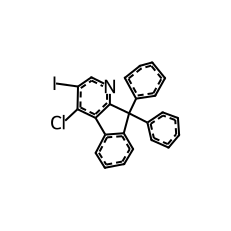 Clc1c(I)cnc2c1-c1ccccc1C2(c1ccccc1)c1ccccc1